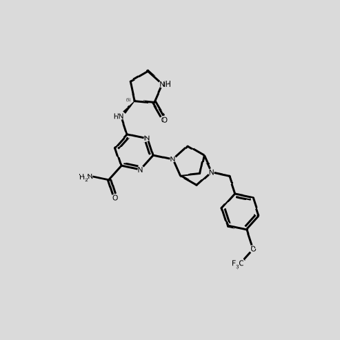 NC(=O)c1cc(N[C@H]2CCNC2=O)nc(N2CC3CC2CN3Cc2ccc(OC(F)(F)F)cc2)n1